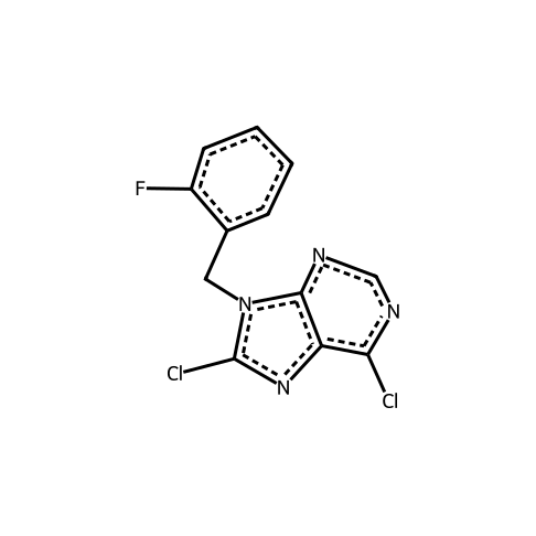 Fc1ccccc1Cn1c(Cl)nc2c(Cl)ncnc21